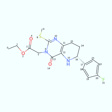 CCOC(=O)Cn1c(SC)nc2c(c1=O)N[C@@H](c1ccc(F)cc1)CC2